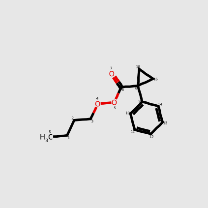 CCCCOOC(=O)C1(c2ccccc2)CC1